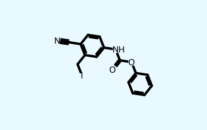 N#Cc1ccc(NC(=O)Oc2ccccc2)cc1CI